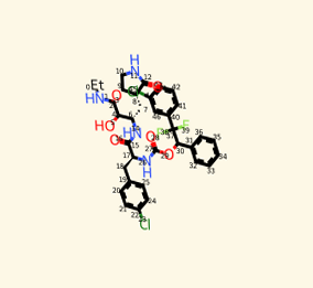 CCNC(=O)C(O)[C@H](C[C@@H]1CCNC1=O)NC(=O)[C@H](Cc1ccc(Cl)cc1)NC(=O)OC(c1ccccc1)C(F)(F)c1cccc(Cl)c1